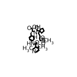 Cc1ccnc(C)c1C(=O)Nc1ccc(C[C@H](NC(=O)C2(CCCCS(C)(=O)=O)CCCC2)C(=O)O)cc1